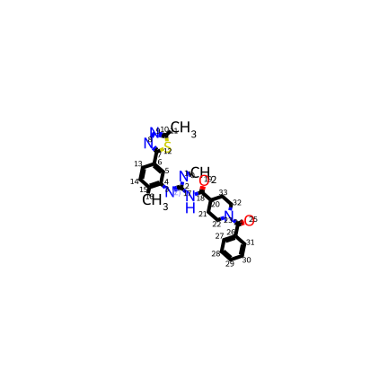 C=N/C(=N\c1cc(-c2nnc(C)s2)ccc1C)NC(=O)C1CCN(C(=O)c2ccccc2)CC1